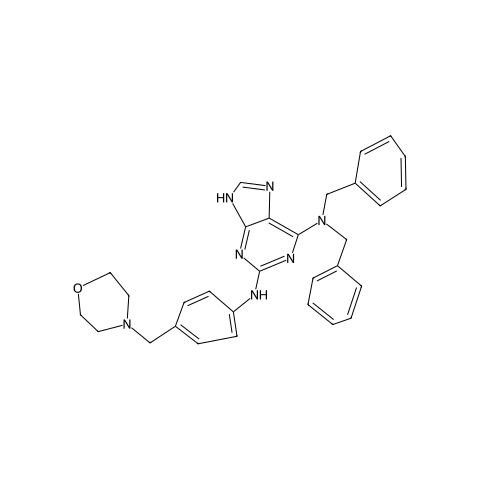 c1ccc(CN(Cc2ccccc2)c2nc(Nc3ccc(CN4CCOCC4)cc3)nc3[nH]cnc23)cc1